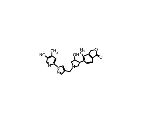 Cc1cc(-n2cc(CN3CC(O)C(c4ccc5c(c4C)COC5=O)C3)cn2)ncc1C#N